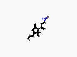 C=C(CCNI)[C@@H]1C(C)CC(CCC)C1(C)C